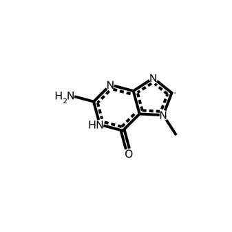 Cn1[c]nc2nc(N)[nH]c(=O)c21